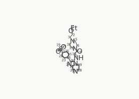 CCOCCN1CCN(C(=O)CNc2c(-c3ccc(S(C)(=O)=O)cc3)nc3cnccn23)CC1